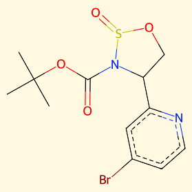 CC(C)(C)OC(=O)N1C(c2cc(Br)ccn2)COS1=O